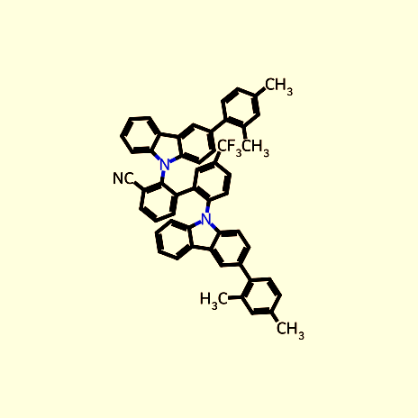 Cc1ccc(-c2ccc3c(c2)c2ccccc2n3-c2ccc(C(F)(F)F)cc2-c2cccc(C#N)c2-n2c3ccccc3c3cc(-c4ccc(C)cc4C)ccc32)c(C)c1